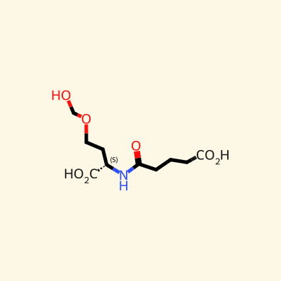 O=C(O)CCCC(=O)N[C@@H](CCOCO)C(=O)O